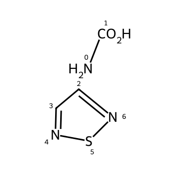 NC(=O)O.c1cnsn1